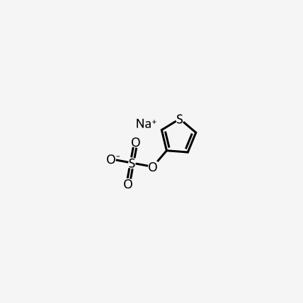 O=S(=O)([O-])Oc1ccsc1.[Na+]